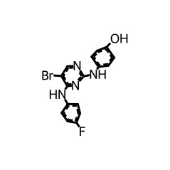 Oc1ccc(Nc2ncc(Br)c(Nc3ccc(F)cc3)n2)cc1